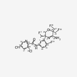 NC1=N[C@](CF)(c2cc(NC(=O)c3ncc(Cl)cc3Cl)ccc2F)COC1(CF)CF